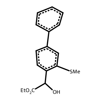 CCOC(=O)C(O)c1ccc(-c2ccccc2)cc1SC